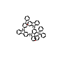 c1ccc(-c2ccc(-n3c4ccccc4c4ccc(-n5c6ccccc6c6c([Si](c7ccccc7)(c7ccccc7)c7ccccc7)cc(-n7c8ccccc8c8ccccc87)cc65)cc43)cc2)cc1